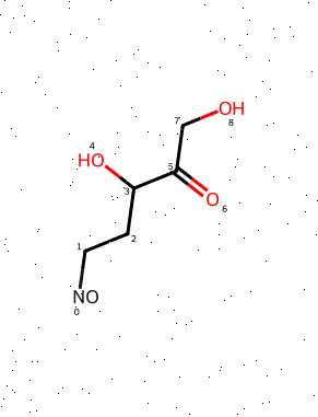 O=NCCC(O)C(=O)CO